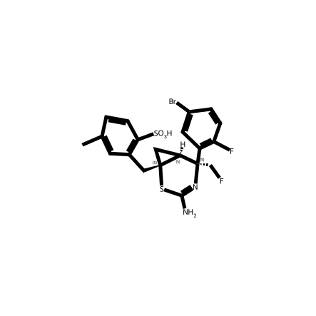 Cc1ccc(S(=O)(=O)O)c(C[C@@]23C[C@H]2[C@@](CF)(c2cc(Br)ccc2F)N=C(N)S3)c1